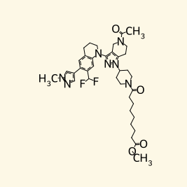 COC(=O)CCCCCCCC(=O)N1CCC(n2nc(N3CCCc4cc(-c5cnn(C)c5)c(C(F)F)cc43)c3c2CCN(C(C)=O)C3)CC1